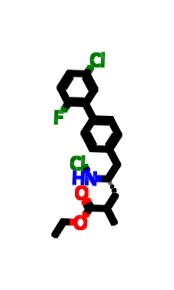 CCOC(=O)C(C)C[C@@H](Cc1ccc(-c2cc(Cl)ccc2F)cc1)NCl